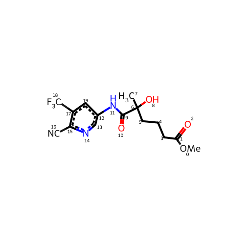 COC(=O)CCCC(C)(O)C(=O)Nc1cnc(C#N)c(C(F)(F)F)c1